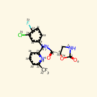 O=C1NC[C@@H](C(=O)NC(c2ccc(F)c(Cl)c2)c2cccc(C(F)(F)F)n2)O1